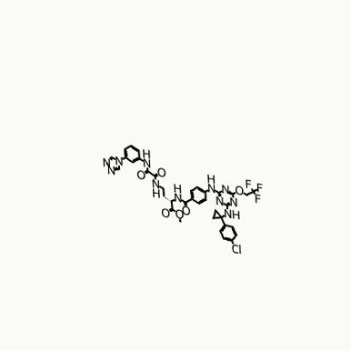 COC(=O)[C@H](CCNC(=O)C(=O)Nc1cccc(-n2cnnc2)c1)NC(=O)c1ccc(Nc2nc(NC3(c4ccc(Cl)cc4)CC3)nc(OCC(F)(F)F)n2)cc1